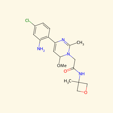 COC1C=C(c2ccc(Cl)cc2N)N=C(C)N1CC(=O)NC1(C)COC1